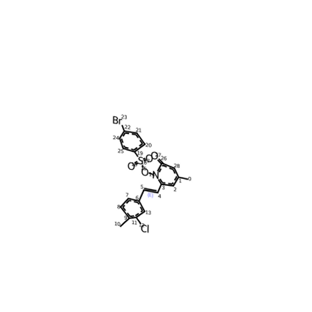 Cc1cc(/C=C/c2ccc(C)c(Cl)c2)n(OS(=O)(=O)c2ccc(Br)cc2)c(=O)c1